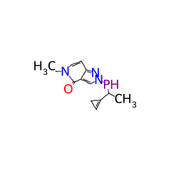 CCn1ccc2nn(PC(C)C3=CC3)cc2c1=O